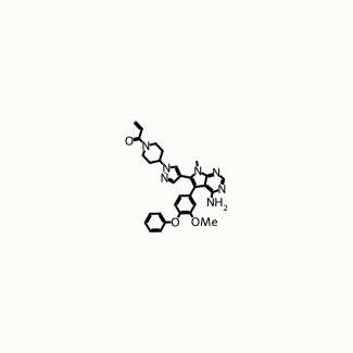 C=CC(=O)N1CCC(n2cc(-c3c(-c4ccc(Oc5ccccc5)c(OC)c4)c4c(N)ncnc4n3C)cn2)CC1